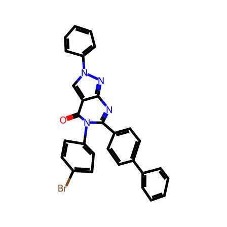 O=c1c2cn(-c3ccccc3)nc2nc(-c2ccc(-c3ccccc3)cc2)n1-c1ccc(Br)cc1